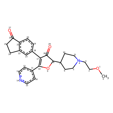 COCCN1CCC(C2OC(c3ccncc3)=C(c3ccc4c(c3)CCC4=O)C2=O)CC1